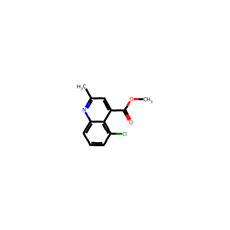 COC(=O)c1cc(C)nc2cccc(Cl)c12